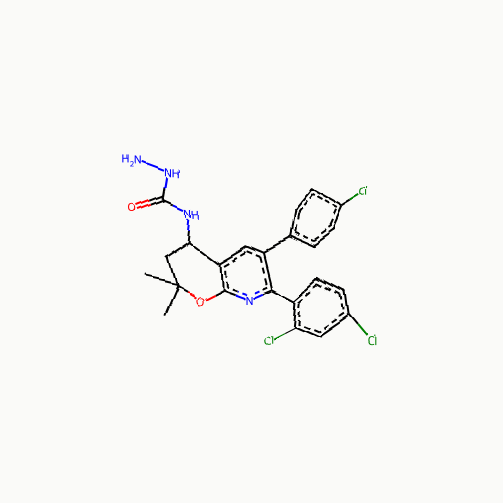 CC1(C)CC(NC(=O)NN)c2cc(-c3ccc(Cl)cc3)c(-c3ccc(Cl)cc3Cl)nc2O1